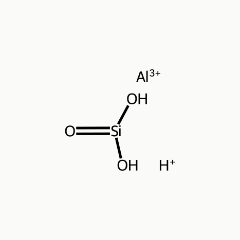 O=[Si](O)O.[Al+3].[H+]